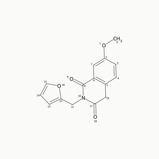 COc1ccc2c(c1)C(=O)N(Cc1ccco1)C(=O)C2